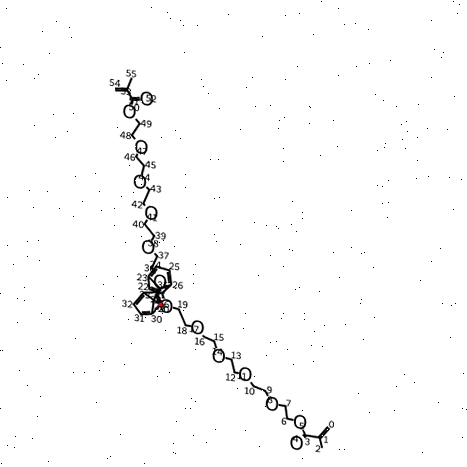 C=C(C)C(=O)OCCOCCOCCOCCOCCOC1=CC2=CC=C1C2C1(C)C2=CC=C1C(OCCOCCOCCOCCOCCOC(=O)C(=C)C)=C2